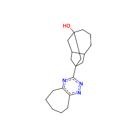 OC12CCCC3CC(c4nnc5c(n4)CCCCC5)(CC3C1)C2